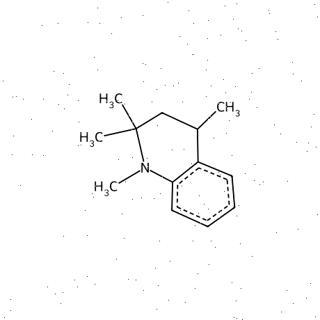 CC1CC(C)(C)N(C)c2ccccc21